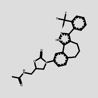 CC(=O)NCC1CN(c2ccc3c(c2)-c2[nH]nc(-c4ccccc4C(F)(F)F)c2CCC3)C(=O)O1